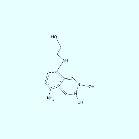 Nc1ccc(NCCO)c2c1=CN(O)N(O)C=2